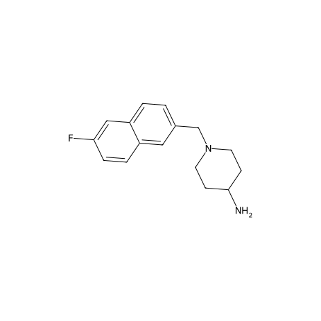 NC1CCN(Cc2ccc3cc(F)ccc3c2)CC1